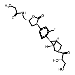 CCC(=O)NC[C@H]1CN(c2ccc([C@H]3[C@@H]4CN(C(=O)[C@@H](O)CO)C[C@@H]43)c(F)c2)C(=O)O1